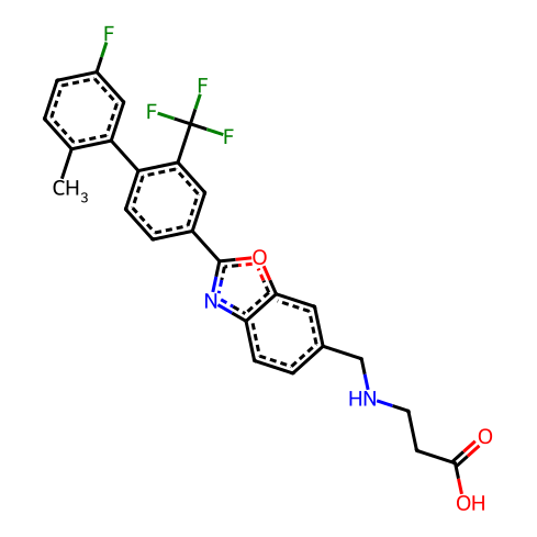 Cc1ccc(F)cc1-c1ccc(-c2nc3ccc(CNCCC(=O)O)cc3o2)cc1C(F)(F)F